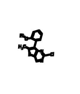 CCOc1ccccc1-c1c(C)sc2cnc(Cl)nc12